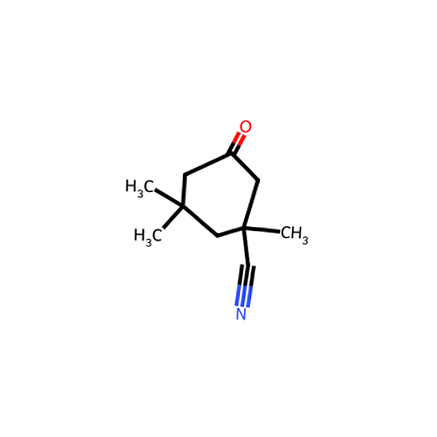 CC1(C)CC(=O)CC(C)(C#N)C1